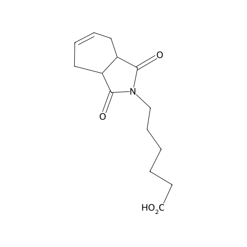 O=C(O)CCCCCN1C(=O)C2CC=CCC2C1=O